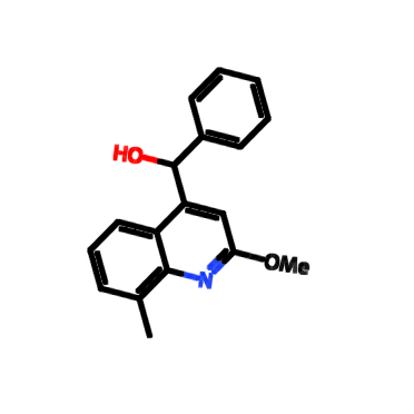 COc1cc(C(O)c2ccccc2)c2cccc(C)c2n1